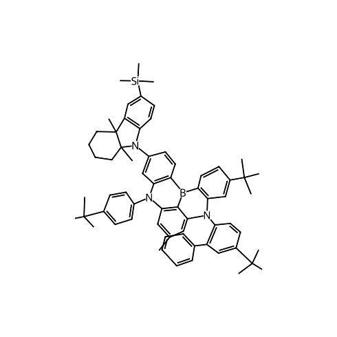 Cc1cc2c3c(c1)N(c1ccc(C(C)(C)C)cc1-c1ccccc1)c1cc(C(C)(C)C)ccc1B3c1ccc(N3c4ccc([Si](C)(C)C)cc4C4(C)CCCCC34C)cc1N2c1ccc(C(C)(C)C)cc1